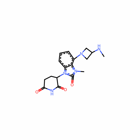 CNC1CN(c2cccc3c2n(C)c(=O)n3C2CCC(=O)NC2=O)C1